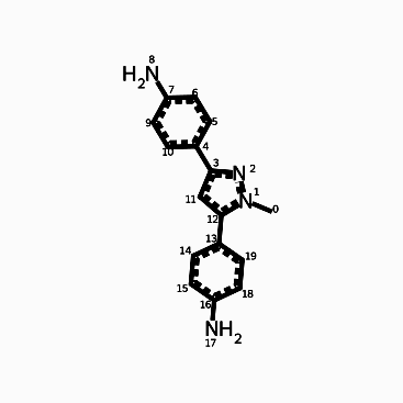 Cn1nc(-c2ccc(N)cc2)cc1-c1ccc(N)cc1